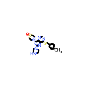 Cc1ccc(CSc2ncnc3c(N4CC[S+]([O-])CC4)nc(N4CCNCC4)nc23)cc1